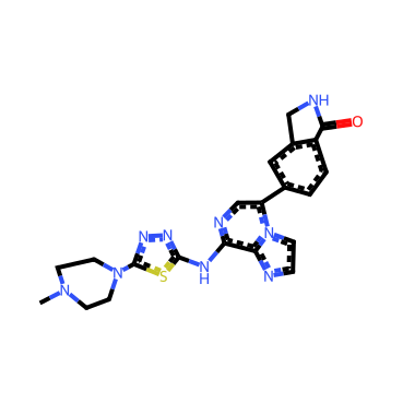 CN1CCN(c2nnc(Nc3ncc(-c4ccc5c(c4)CNC5=O)n4ccnc34)s2)CC1